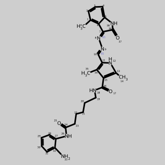 Cc1cccc2c1/C(=N/N=C/c1[nH]c(C)c(C(=O)NCCCCCC(=O)Nc3ccccc3N)c1C)C(=O)N2